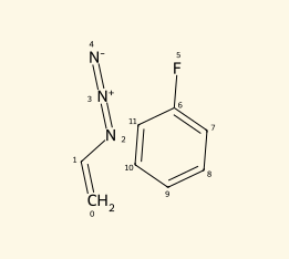 C=CN=[N+]=[N-].Fc1ccccc1